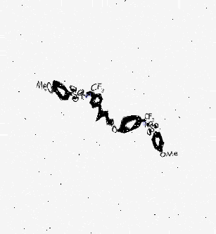 COc1ccc(S(=O)(=O)O/N=C(/c2ccc(OCCCC3CC3c3ccc(/C(=N/OS(=O)(=O)c4ccc(OC)cc4)C(F)(F)F)cc3)cc2)C(F)(F)F)cc1